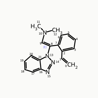 C=Cc1ccccc1/C(=C\N(C)C)n1nnc2ccccc21